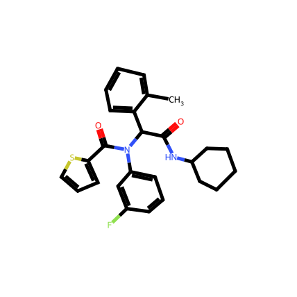 Cc1ccccc1C(C(=O)NC1CCCCC1)N(C(=O)c1cccs1)c1cccc(F)c1